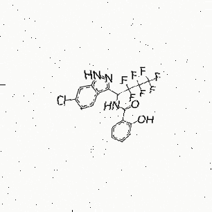 O=C(NC(c1n[nH]c2cc(Cl)ccc12)C(F)(F)C(F)(F)C(F)(F)F)c1ccccc1O